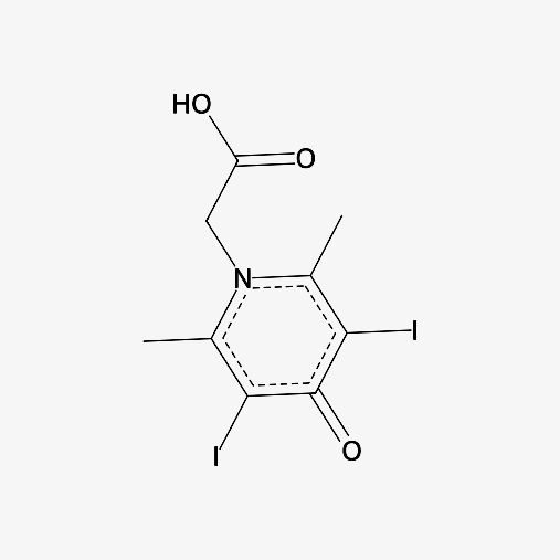 Cc1c(I)c(=O)c(I)c(C)n1CC(=O)O